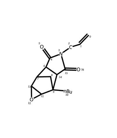 C=CCN1C(=O)C2C3CC(CCCC)(C4OC34)C2C1=O